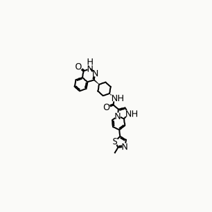 Cc1ncc(C2=CC3NC=C(C(=O)N[C@H]4CC[C@H](c5n[nH]c(=O)c6ccccc65)CC4)N3C=C2)s1